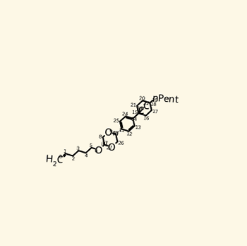 C=CCCCCO[C@H]1CO[C@H](c2ccc(C34CCC(CCCCC)(CC3)CC4)cc2)CO1